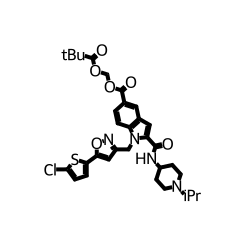 CC(C)N1CCC(NC(=O)c2cc3cc(C(=O)OCOC(=O)C(C)(C)C)ccc3n2Cc2cc(-c3ccc(Cl)s3)on2)CC1